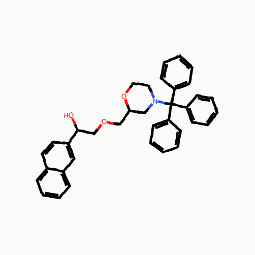 OC(COCC1CN(C(c2ccccc2)(c2ccccc2)c2ccccc2)CCO1)c1ccc2ccccc2c1